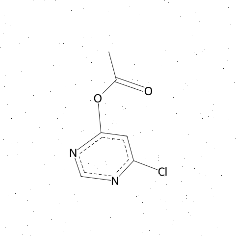 CC(=O)Oc1cc(Cl)ncn1